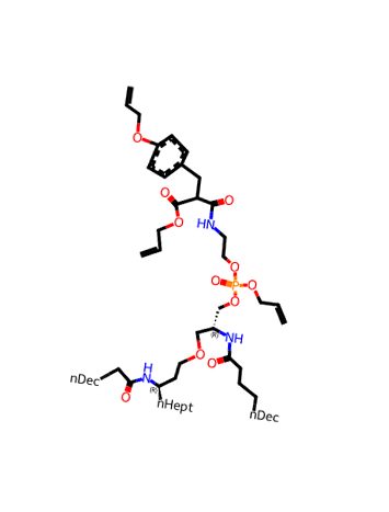 C=CCOC(=O)C(Cc1ccc(OCC=C)cc1)C(=O)NCCOP(=O)(OCC=C)OC[C@@H](COCC[C@@H](CCCCCCC)NC(=O)CCCCCCCCCCC)NC(=O)CCCCCCCCCCCCC